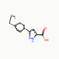 CCc1ccc(-c2cc(C(=O)O)[nH]n2)cc1